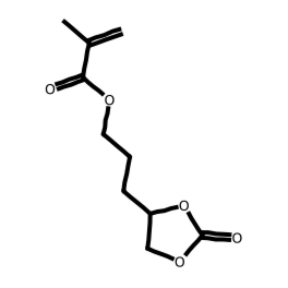 C=C(C)C(=O)OCCCC1COC(=O)O1